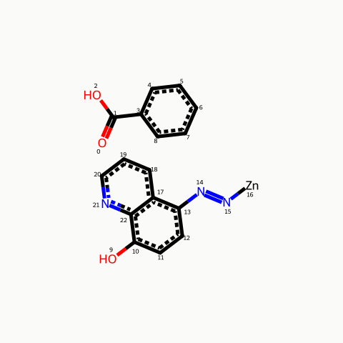 O=C(O)c1ccccc1.Oc1ccc(N=[N][Zn])c2cccnc12